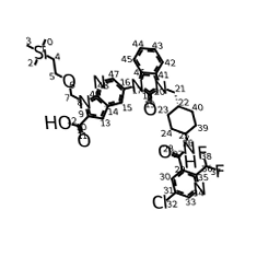 C[Si](C)(C)CCOCn1c(C(=O)O)cc2cc(-n3c(=O)n(C[C@H]4CC[C@H](NC(=O)c5cc(Cl)cnc5C(F)F)CC4)c4ccccc43)cnc21